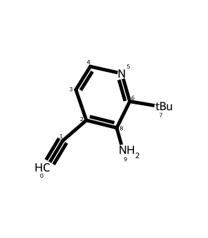 C#Cc1ccnc(C(C)(C)C)c1N